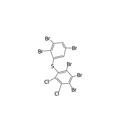 Clc1c(Cl)c(Sc2cc(Br)cc(Br)c2Br)c(Br)c(Br)c1Br